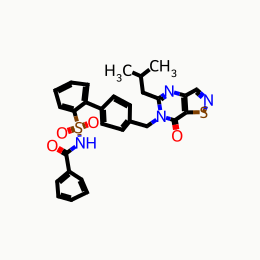 CC(C)Cc1nc2cnsc2c(=O)n1Cc1ccc(-c2ccccc2S(=O)(=O)NC(=O)c2ccccc2)cc1